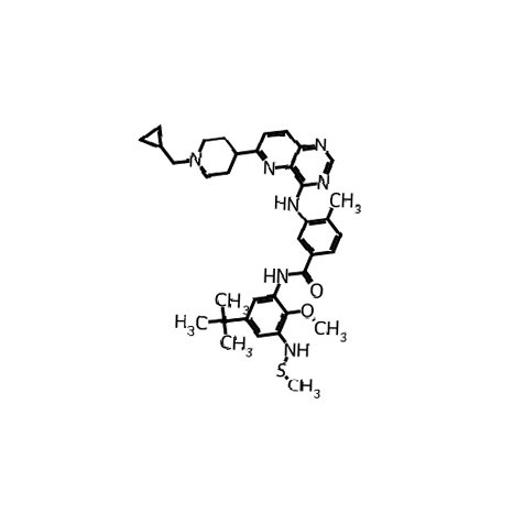 COc1c(NSC)cc(C(C)(C)C)cc1NC(=O)c1ccc(C)c(Nc2ncnc3ccc(C4CCN(CC5CC5)CC4)nc23)c1